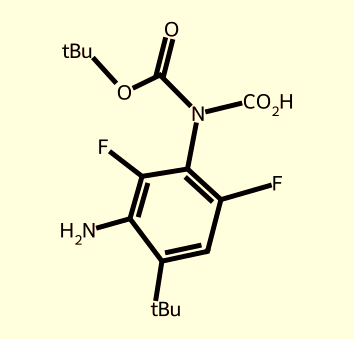 CC(C)(C)OC(=O)N(C(=O)O)c1c(F)cc(C(C)(C)C)c(N)c1F